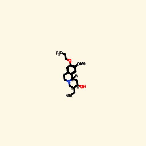 COc1cc2c(cc1OCCC(F)(F)F)CCN1C[C@H](CC(C)(C)C)[C@H](O)C[C@@H]21